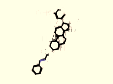 CC(=O)O[C@H]1[C@H]2O[C@]23[C@@H]2CC[C@@H]4C[C@@H](OC(=O)/C=C/c5ccccc5)CC[C@]4(C)[C@H]2CC[C@]3(C)[C@H]1C1=COCC(C=O)=C1